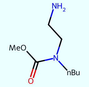 CCCCN(CCN)C(=O)OC